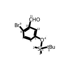 CC(C)(C)[Si](C)(C)Oc1ccc(Br)c(C=O)c1